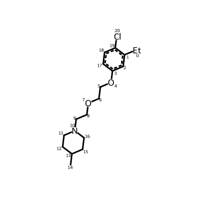 CCc1cc(OCCOCCN2CCC(C)CC2)ccc1Cl